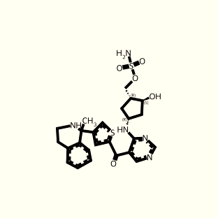 CC1(c2csc(C(=O)c3cncnc3N[C@@H]3C[C@H](COS(N)(=O)=O)[C@@H](O)C3)c2)NCCc2ccccc21